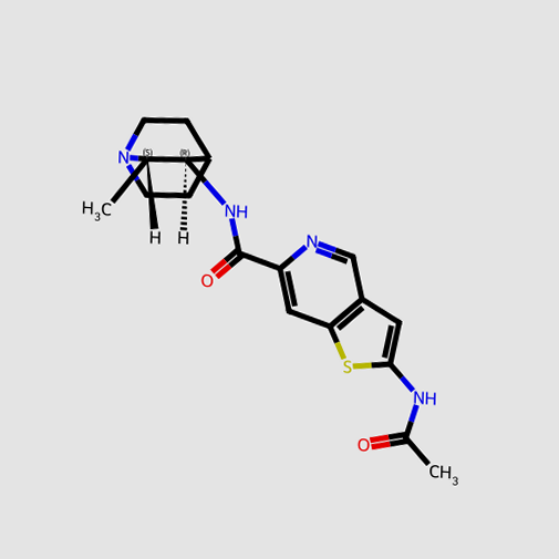 CC(=O)Nc1cc2cnc(C(=O)N[C@@H]3C4CCN(CC4)[C@H]3C)cc2s1